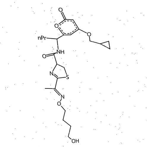 CCCC(NC(=O)C1CSC(/C(C)=N/OCCCCO)=N1)c1cc(OCC2CC2)cc(=O)o1